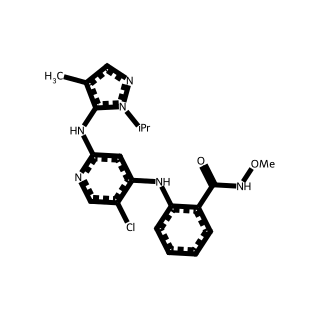 CONC(=O)c1ccccc1Nc1cc(Nc2c(C)cnn2C(C)C)ncc1Cl